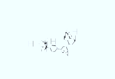 CN(C)C(=O)c1ccc(-c2cncc(-c3ccnc4c3ccn4C)c2)cc1